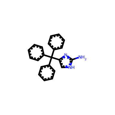 Nc1nc(C(c2ccccc2)(c2ccccc2)c2ccccc2)c[nH]1